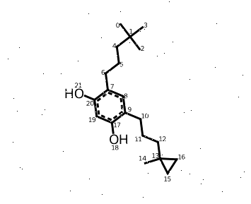 CC(C)(C)CCCc1cc(CCCC2(C)CC2)c(O)cc1O